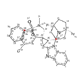 Cc1nc2ccccc2n1C1C[C@H]2CC[C@@H](C1)N2C[C@@H]1C[C@@]1(CN(C)S(=O)(=O)c1ccccc1)c1cccc(Cl)c1